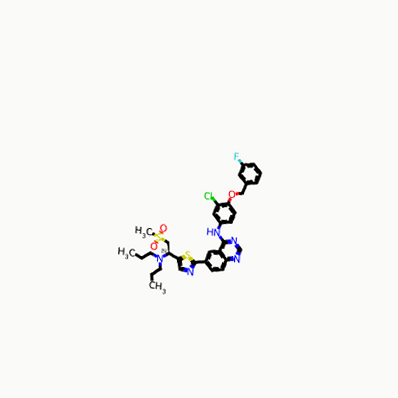 CCCN(CCC)[C@@H](CS(C)(=O)=O)c1cnc(-c2ccc3ncnc(Nc4ccc(OCc5cccc(F)c5)c(Cl)c4)c3c2)s1